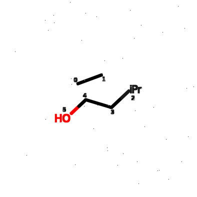 CC.CC(C)CCO